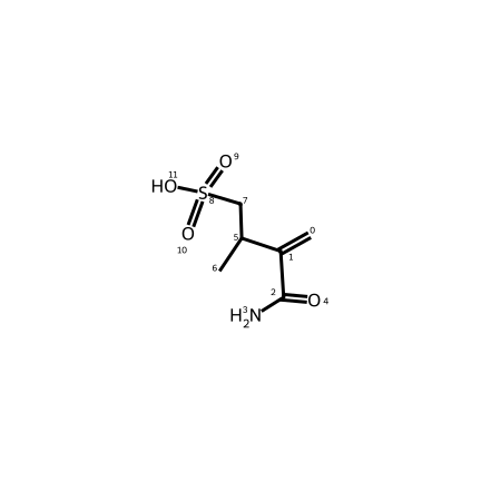 C=C(C(N)=O)C(C)CS(=O)(=O)O